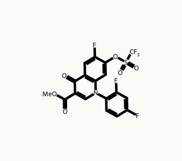 COC(=O)c1cn(-c2ccc(F)cc2F)c2cc(OS(=O)(=O)C(F)(F)F)c(F)cc2c1=O